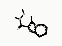 CON(C)C(=O)c1nc2ccccn2c1C